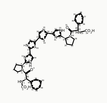 O=C(O)N[C@@H](C(=O)N1CCC[C@H]1c1nc(-c2ncc(-c3cnc(-c4c[nH]c([C@@H]5CCCN5C(=O)[C@H](NC(=O)O)c5ccccc5)n4)s3)s2)c[nH]1)c1ccccc1